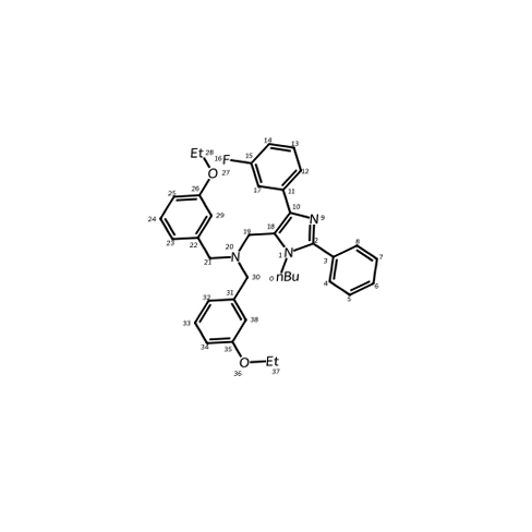 CCCCn1c(-c2ccccc2)nc(-c2cccc(F)c2)c1CN(Cc1cccc(OCC)c1)Cc1cccc(OCC)c1